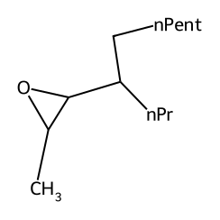 CCCCCCC(CCC)C1OC1C